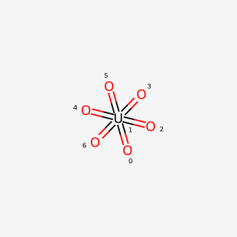 [O]=[U](=[O])(=[O])(=[O])(=[O])=[O]